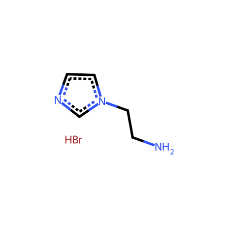 Br.NCCn1ccnc1